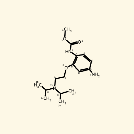 COC(=O)Nc1ccc(N)cc1OCCN(C(C)C)C(C)C